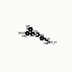 COc1ccc(-c2cnc(N3CCC(Nc4cccc(C=CC(=O)N(O)C(=O)O)c4)CC3)c(C#N)c2-c2ccc(C#N)c(F)c2)cc1O